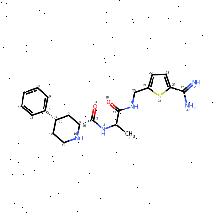 CC(NC(=O)[C@H]1C[C@@H](c2ccccc2)CCN1)C(=O)NCc1ccc(C(=N)N)s1